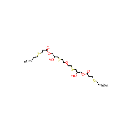 CCCCCCCCCCCCSCCC(=O)OCC(O)CSCCOCCSCC(O)COC(=O)CCSCCCCCCCCCCCC